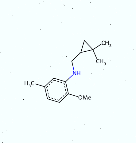 COc1ccc(C)cc1NCC1CC1(C)C